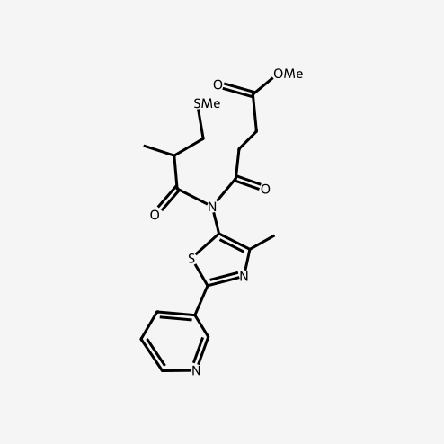 COC(=O)CCC(=O)N(C(=O)C(C)CSC)c1sc(-c2cccnc2)nc1C